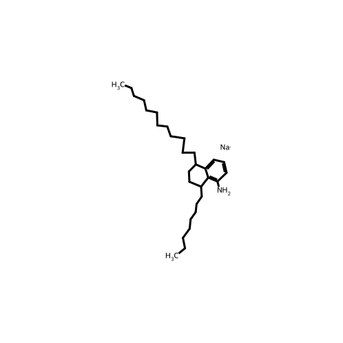 CCCCCCCCCCCCC1CCC(CCCCCCCC)c2c(N)cccc21.[Na]